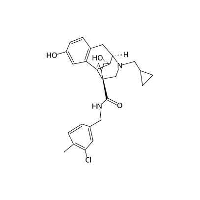 Cc1ccc(CNC(=O)[C@H]2C[C@]34CCN(CC5CC5)[C@H](Cc5ccc(O)cc53)[C@]4(O)C2)cc1Cl